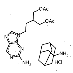 CC(=O)OCC(CCn1cnc2cnc(N)nc21)COC(C)=O.Cl.NC12CC3CC(CC(C3)C1)C2